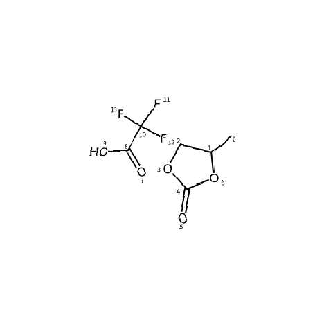 CC1COC(=O)O1.O=C(O)C(F)(F)F